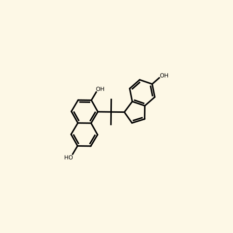 CC(C)(c1c(O)ccc2cc(O)ccc12)C1C=Cc2cc(O)ccc21